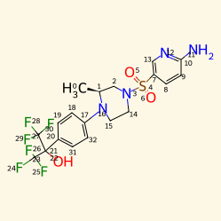 C[C@H]1CN(S(=O)(=O)c2ccc(N)nc2)CCN1c1ccc(C(O)(C(F)(F)F)C(F)(F)F)cc1